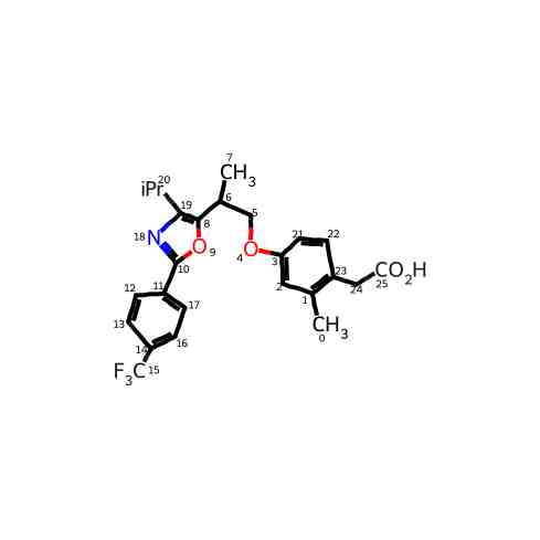 Cc1cc(OCC(C)c2oc(-c3ccc(C(F)(F)F)cc3)nc2C(C)C)ccc1CC(=O)O